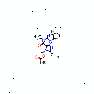 Cc1nc2c(n1COC(=O)C(C)(C)C)C(=O)N(C)C1=N[C@@H]3CCC[C@@H]3N12